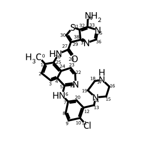 Cc1ccc2c(Nc3ccc(Cl)c(CN4CCNCC4)c3)nccc2c1NC(=O)c1csc2c(N)ncnc12